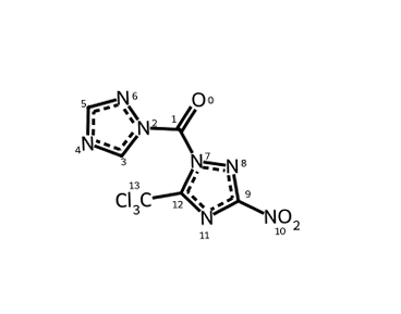 O=C(n1cncn1)n1nc([N+](=O)[O-])nc1C(Cl)(Cl)Cl